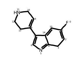 FC1=CCC2=NC=C(C3=CCNCC3)C2=C1